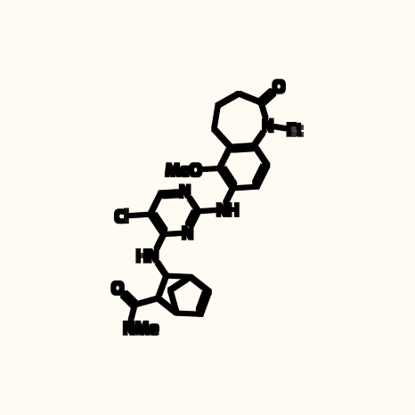 CCN1C(=O)CCCc2c1ccc(Nc1ncc(Cl)c(NC3C4C=CC(C4)C3C(=O)NC)n1)c2OC